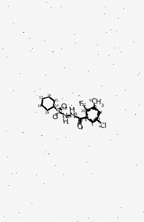 Cc1cc(Cl)cc(C(=O)NNS(=O)(=O)C2CCCCC2)c1F